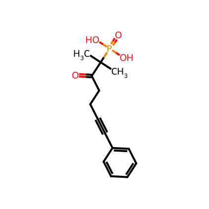 CC(C)(C(=O)CCC#Cc1ccccc1)P(=O)(O)O